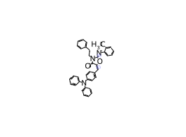 Cc1ccccc1/N=C1\O/C(=C/c2ccc(N(c3ccccc3)c3ccccc3)cc2)C(=O)N1CCc1ccccc1